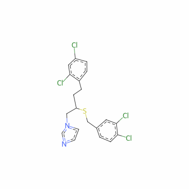 Clc1ccc(CCC(Cn2ccnc2)SCc2ccc(Cl)c(Cl)c2)c(Cl)c1